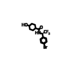 O=C(N[C@@H](c1ccc(Br)cc1)C(F)(F)F)C1CCC(O)CC1